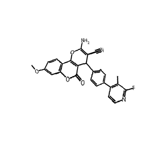 COc1ccc2c3c(c(=O)oc2c1)C(c1ccc(-c2ccnc(F)c2C)cc1)C(C#N)=C(N)O3